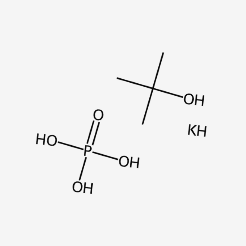 CC(C)(C)O.O=P(O)(O)O.[KH]